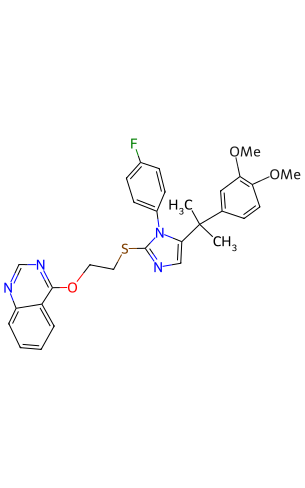 COc1ccc(C(C)(C)c2cnc(SCCOc3ncnc4ccccc34)n2-c2ccc(F)cc2)cc1OC